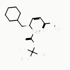 COC(=O)/C=C\[C@H](CC1CCCCC1)NC(=O)OC(C)(C)C